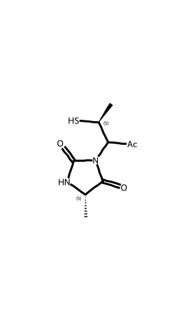 CC(=O)C([C@H](C)S)N1C(=O)N[C@@H](C)C1=O